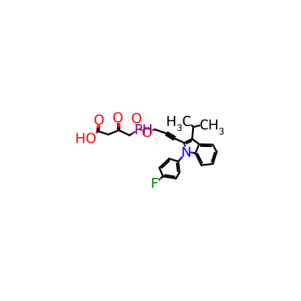 CC(C)c1c(C#CCO[PH](=O)CC(=O)CC(=O)O)n(-c2ccc(F)cc2)c2ccccc12